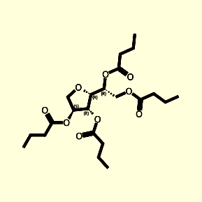 CCCC(=O)OC[C@@H](OC(=O)CCC)[C@H]1OC[C@H](OC(=O)CCC)[C@H]1OC(=O)CCC